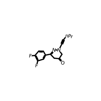 CCCC#CN1CC(=O)CC(c2ccc(F)c(F)c2)=N1